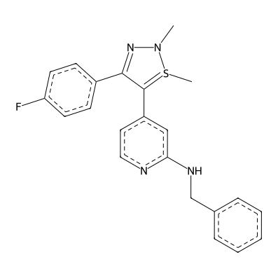 CN1N=C(c2ccc(F)cc2)C(c2ccnc(NCc3ccccc3)c2)=S1C